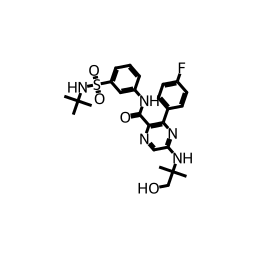 CC(C)(C)NS(=O)(=O)c1cccc(NC(=O)c2ncc(NC(C)(C)CO)nc2-c2ccc(F)cc2)c1